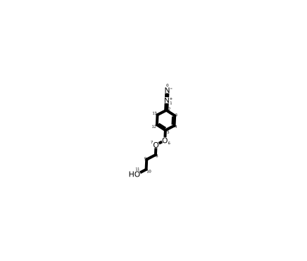 [N-]=[N+]=C1C=CC(OOCCCO)=CC1